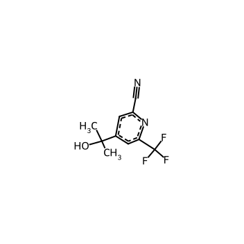 CC(C)(O)c1cc(C#N)nc(C(F)(F)F)c1